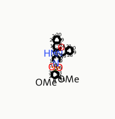 COc1ccc(S(=O)(=O)N2CCC3(CC2)NC(Cc2ccccc2)C(=O)N3Cc2ccccc2)cc1OC